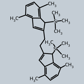 Cc1ccc(C)c2c1C=C(CCC1=Cc3c(C)ccc(C)c3C1[Si](C)(C)C)C2[Si](C)(C)C